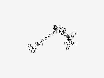 CCCC1O[C@@H]2C[C@H]3C4C[C@H](F)C5=CC(=O)C=C[C@]5(C)[C@@]4(F)[C@@H](O)C[C@]3(C)[C@]2(C(=O)COc2ccc(NC(=O)[C@H](C)NC(=O)[C@@H](NC(=O)CCOCCOCCOCCOCCNC(=O)CCC(=O)N3Cc4ccccc4/C(C)=C\c4ccccc43)C(C)C)c(F)c2)O1